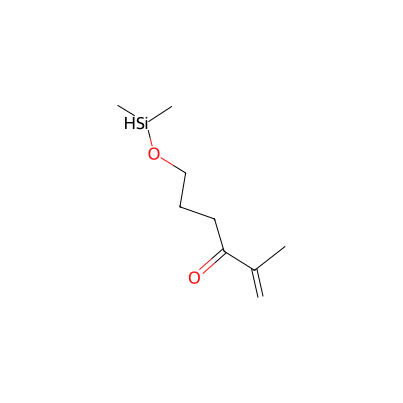 C=C(C)C(=O)CCCO[SiH](C)C